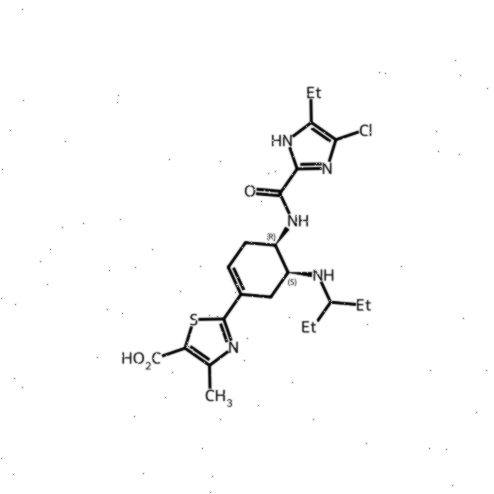 CCc1[nH]c(C(=O)N[C@@H]2CC=C(c3nc(C)c(C(=O)O)s3)C[C@@H]2NC(CC)CC)nc1Cl